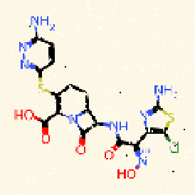 Nc1ccc(SC2=C(C(=O)O)N3C(=O)C(NC(=O)/C(=N\O)c4nc(N)sc4Cl)C3CC2)nn1